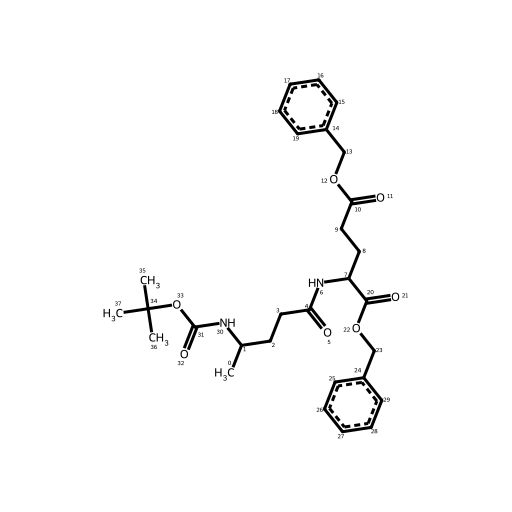 CC(CCC(=O)NC(CCC(=O)OCc1ccccc1)C(=O)OCc1ccccc1)NC(=O)OC(C)(C)C